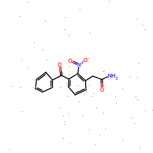 NC(=O)Cc1cccc(C(=O)c2ccccc2)c1[N+](=O)[O-]